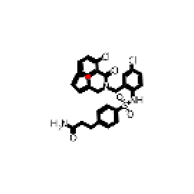 NC(=O)CCc1ccc(S(=O)(=O)Nc2ccc(Cl)cc2CN(Cc2ccco2)C(=O)c2ccccc2Cl)cc1